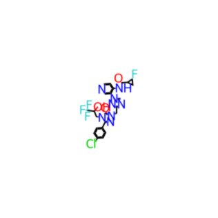 O=C(Nc1ccncc1-n1cnc(Cn2nc(-c3ccc(Cl)cc3)n(CC(O)C(F)(F)F)c2=O)n1)C1CC1F